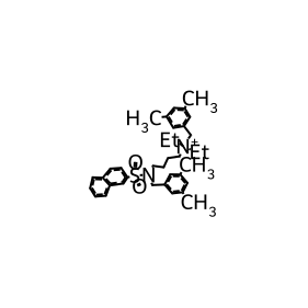 CC[N+](CC)(CCCCN(Cc1cc(C)cc(C)c1)S(=O)(=O)c1ccc2ccccc2c1)Cc1cc(C)cc(C)c1